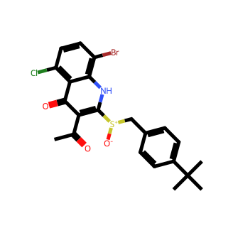 CC(=O)c1c([S+]([O-])Cc2ccc(C(C)(C)C)cc2)[nH]c2c(Br)ccc(Cl)c2c1=O